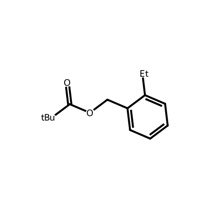 CCc1ccccc1COC(=O)C(C)(C)C